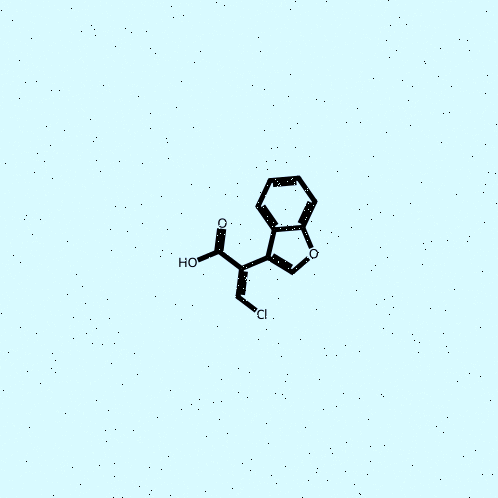 O=C(O)/C(=C/Cl)c1coc2ccccc12